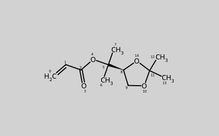 C=CC(=O)OC(C)(C)[C@@H]1COC(C)(C)O1